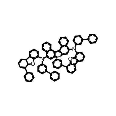 C1=CC2c3cccc(N(c4cccc(-c5ccccc5)c4)c4cc5oc6cc(N(c7cccc(-c8ccccc8)c7)c7cccc8c7oc7c(-c9ccccc9)cccc78)c7ccccc7c6c5c5ccccc45)c3OC2C(c2ccccc2)=C1